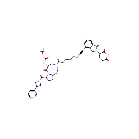 CC(C)(C)OC(=O)N[C@H]1CN(C(=O)CCCCCC#Cc2cccc3c2CN(C2CCC(=O)NC2=O)C3=O)CC[C@H]2CC[C@@H](C(=O)N3CC(c4cccnc4)C3)N2C1=O